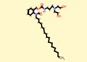 CCCCCCCCCCCCCCCCCCN(C=O)C1CC=CCC1COC(=O)NCCCN(CCO)CCO